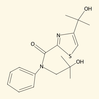 CC(C)(O)CN(C(=O)c1nc(C(C)(C)O)cs1)c1ccccc1